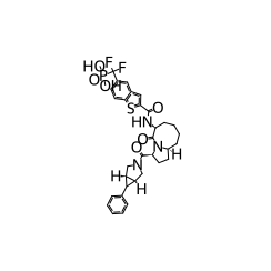 O=C(N[C@H]1CCCC[C@H]2CC[C@@H](C(=O)N3C[C@@H]4C(c5ccccc5)[C@@H]4C3)N2C1=O)c1cc2cc(C(F)(F)P(=O)(O)O)ccc2s1